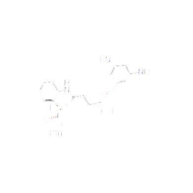 CC(C)(C)OC(=O)Nc1ccccc1NC(=O)/C=C/C(O)OCc1cc(N)cc(N)c1